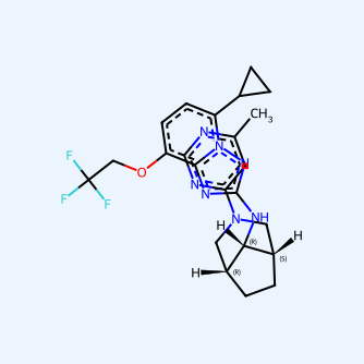 Cc1cc(N2C[C@H]3CC[C@@H](C2)[C@H]3Nc2nc3c(OCC(F)(F)F)ccc(C4CC4)n3n2)ncn1